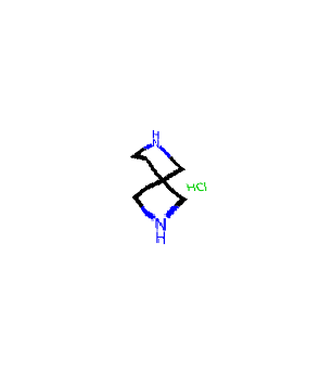 C1NCC12CNC2.Cl